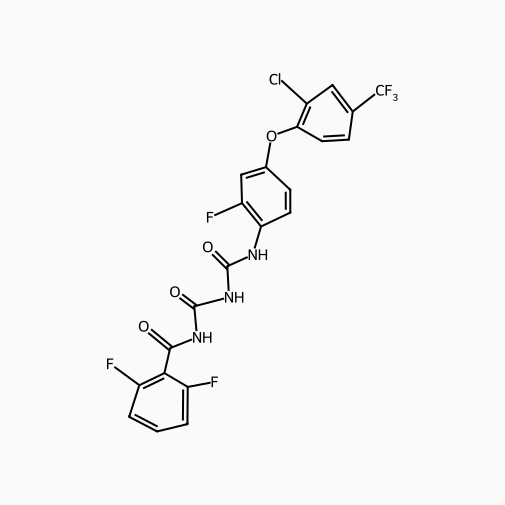 O=C(NC(=O)Nc1ccc(Oc2ccc(C(F)(F)F)cc2Cl)cc1F)NC(=O)c1c(F)cccc1F